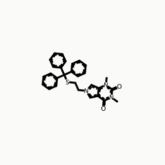 Cn1c(=O)c2cn(CCSC(c3ccccc3)(c3ccccc3)c3ccccc3)cc2n(C)c1=O